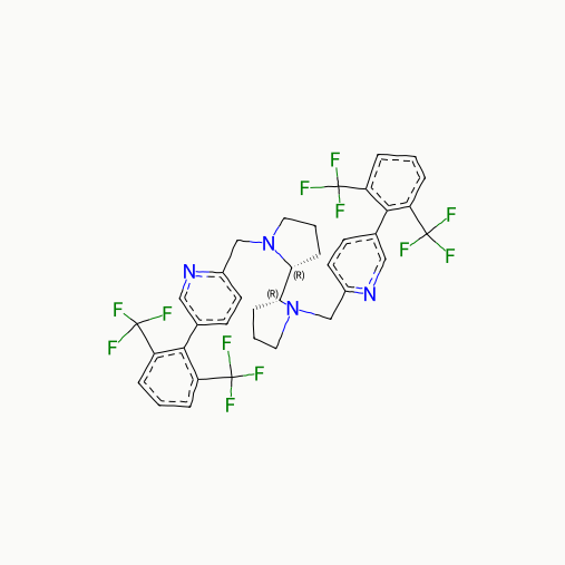 FC(F)(F)c1cccc(C(F)(F)F)c1-c1ccc(CN2CCC[C@@H]2[C@H]2CCCN2Cc2ccc(-c3c(C(F)(F)F)cccc3C(F)(F)F)cn2)nc1